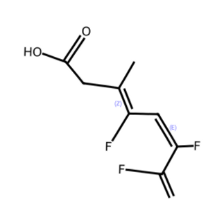 C=C(F)/C(F)=C\C(F)=C(/C)CC(=O)O